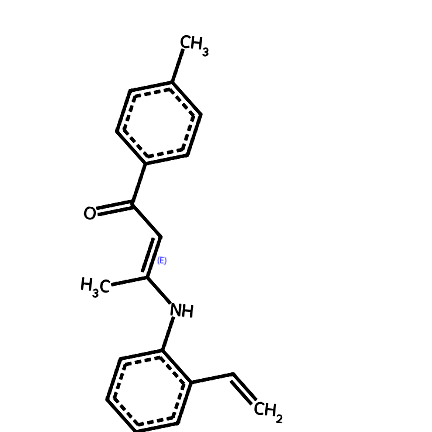 C=Cc1ccccc1N/C(C)=C/C(=O)c1ccc(C)cc1